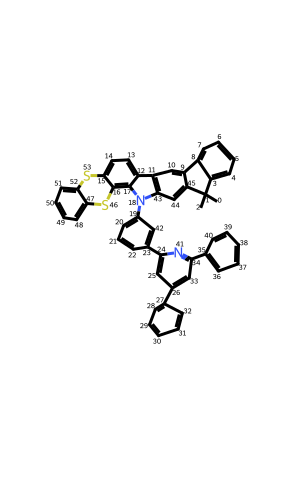 CC1(C)c2ccccc2-c2cc3c4ccc5c(c4n(-c4cccc(-c6cc(-c7ccccc7)cc(-c7ccccc7)n6)c4)c3cc21)Sc1ccccc1S5